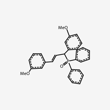 COc1cccc(/C=C/C(c2cccc(OC)c2)P(=O)(c2ccccc2)c2ccccc2)c1